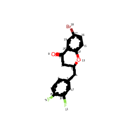 O=C1CC(Cc2ccc(F)c(F)c2)Oc2ccc(Br)cc21